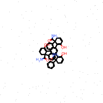 NC(=O)C1(c2ccccc2)CC=CC(O)=C1c1cc(C2=C(O)C=CCC2(C(N)=O)c2ccccc2)cc(C2=C(O)C=CCC2(C(N)=O)c2ccccc2)c1